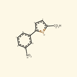 O=C(O)c1ccc(-c2cccc([N+](=O)[O-])c2)s1